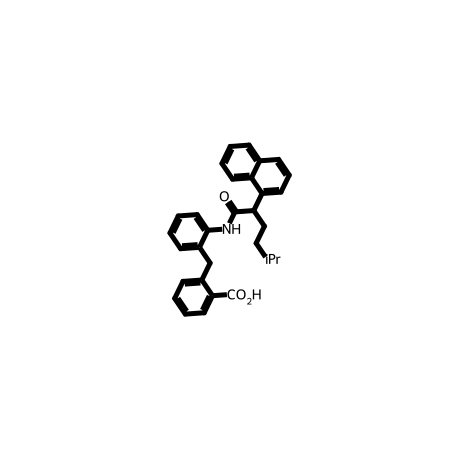 CC(C)CCC(C(=O)Nc1ccccc1Cc1ccccc1C(=O)O)c1cccc2ccccc12